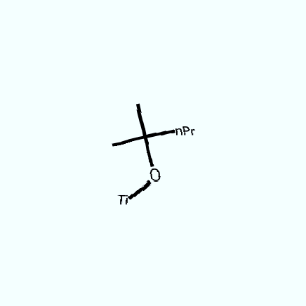 CCCC(C)(C)[O][Ti]